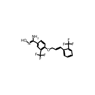 N/C(=N\O)c1ccc(OC/C=C/c2ccccc2C(F)(F)F)c(C(F)(F)F)c1